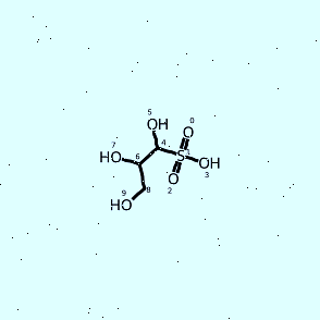 O=S(=O)(O)C(O)C(O)CO